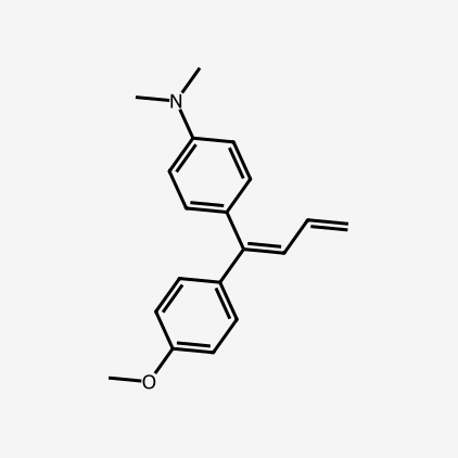 C=C/C=C(/c1ccc(OC)cc1)c1ccc(N(C)C)cc1